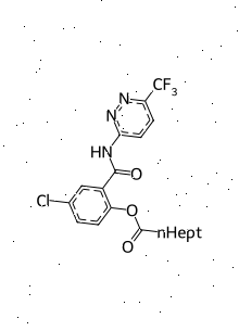 CCCCCCCC(=O)Oc1ccc(Cl)cc1C(=O)Nc1ccc(C(F)(F)F)nn1